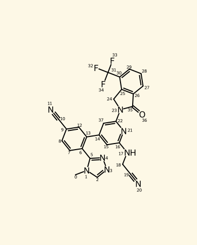 Cn1cnnc1-c1ccc(C#N)cc1-c1cc(NCC#N)nc(N2Cc3c(cccc3C(F)(F)F)C2=O)c1